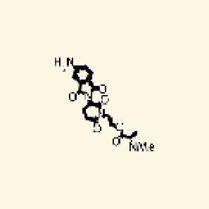 CN[C@@H](C)C(=O)OCCN1C(=O)CCC(N2C(=O)c3ccc(N)cc3C2=O)C1=O